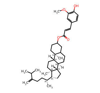 C=C(CC[C@@H](C)[C@H]1CC[C@H]2[C@@H]3CCC4CC(OC(=O)C=Cc5ccc(O)c(OC)c5)CC[C@]4(C)[C@H]3CC[C@]12C)C(C)C